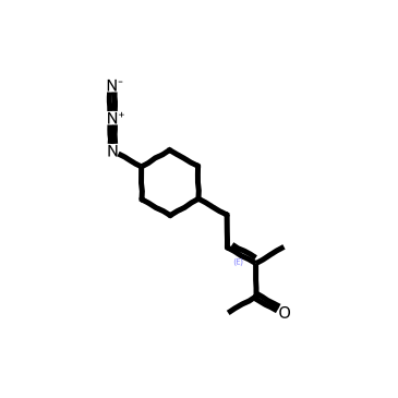 CC(=O)/C(C)=C/CC1CCC(N=[N+]=[N-])CC1